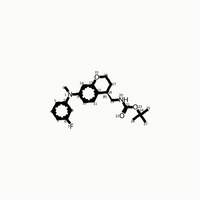 CN(c1cccc(F)c1)c1ccc2c(c1)OCC[C@H]2CNC(=O)OC(C)(C)C